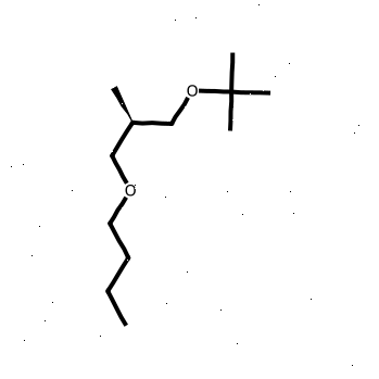 CCCCOC[C@@H](C)COC(C)(C)C